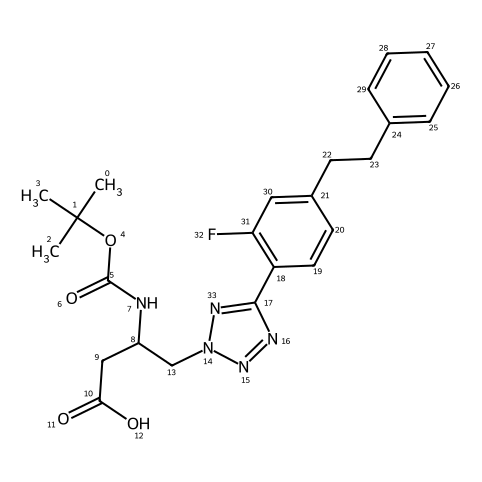 CC(C)(C)OC(=O)NC(CC(=O)O)Cn1nnc(-c2ccc(CCc3ccccc3)cc2F)n1